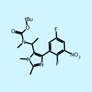 Cc1nc(-c2cc(F)cc([N+](=O)[O-])c2F)c(C(C)N(C)C(=O)OC(C)(C)C)n1C